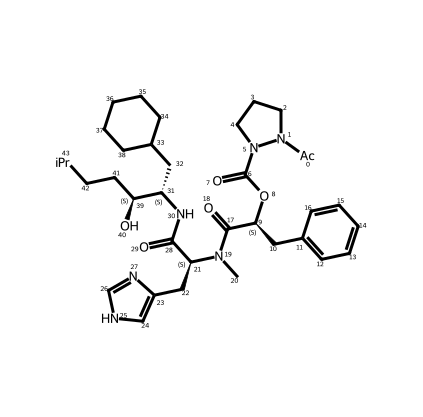 CC(=O)N1CCCN1C(=O)O[C@@H](Cc1ccccc1)C(=O)N(C)[C@@H](Cc1c[nH]cn1)C(=O)N[C@@H](CC1CCCCC1)[C@@H](O)CCC(C)C